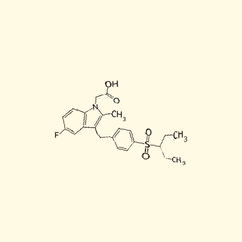 CCC(CC)S(=O)(=O)c1ccc(Cc2c(C)n(CC(=O)O)c3ccc(F)cc23)cc1